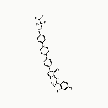 C[C@@H](n1ncn(-c2ccc(N3CCN(c4ccc(OCC(F)(F)C(F)F)cc4)CC3)cc2)c1=O)[C@]1(c2ccc(F)cc2F)CO1